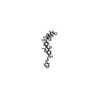 Cc1nc2cc(NCCCN3CCOCC3)ccc2c(=O)n1-c1ccc(NC(=O)NS(=O)(=O)c2ccc(Cl)s2)cc1